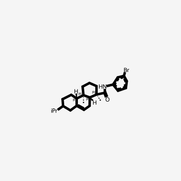 CC(C)C1CC[C@H]2C(=CC[C@@H]3[C@]2(C)CCC[C@@]3(C)C(=O)Nc2cccc(Br)c2)C1